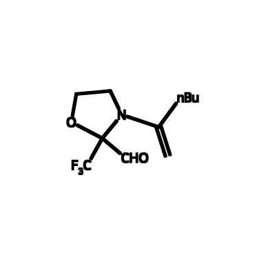 C=C(CCCC)N1CCOC1(C=O)C(F)(F)F